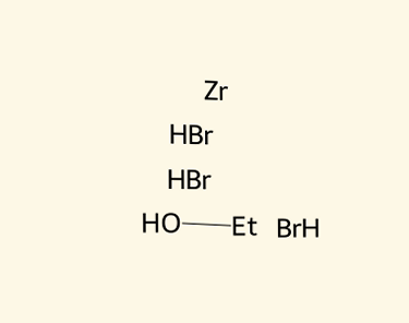 Br.Br.Br.CCO.[Zr]